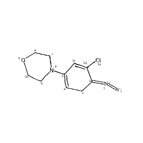 [N-]=[N+]=C1CC=C(N2CCOCC2)C=C1Cl